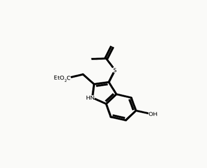 C=C(C)Sc1c(CC(=O)OCC)[nH]c2ccc(O)cc12